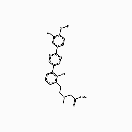 CCc1c(CCN(C)CC(=O)OC)cccc1-c1cnc(-c2ccc(OC(C)C)c(Cl)c2)nc1